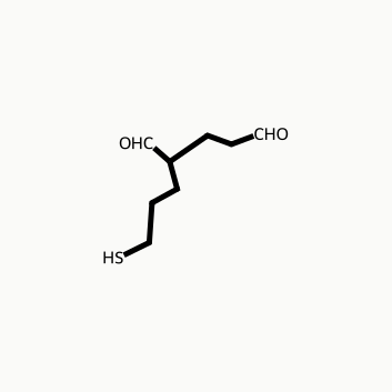 O=CCCC(C=O)CCCS